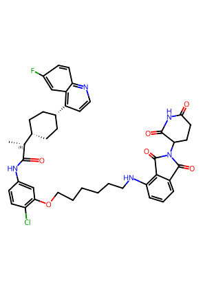 C[C@@H](C(=O)Nc1ccc(Cl)c(OCCCCCCNc2cccc3c2C(=O)N(C2CCC(=O)NC2=O)C3=O)c1)[C@H]1CC[C@@H](c2ccnc3ccc(F)cc32)CC1